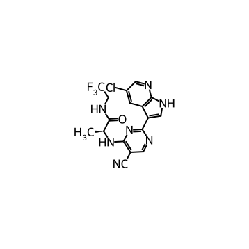 C[C@H](Nc1nc(-c2c[nH]c3ncc(Cl)cc23)ncc1C#N)C(=O)NCC(F)(F)F